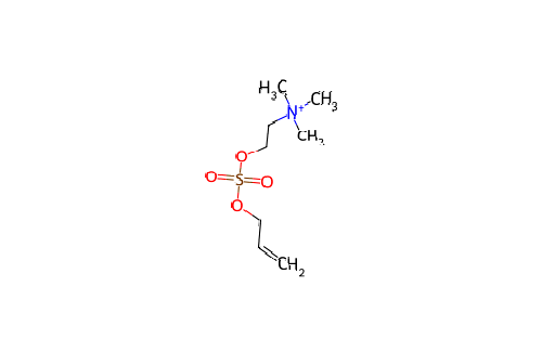 C=CCOS(=O)(=O)OCC[N+](C)(C)C